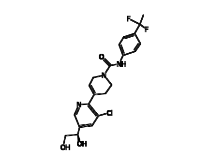 CC(F)(F)c1ccc(NC(=O)N2CC=C(c3ncc([C@@H](O)CO)cc3Cl)CC2)cc1